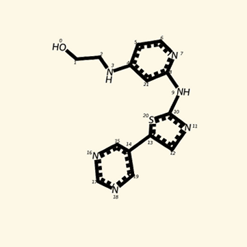 OCCNc1ccnc(Nc2ncc(-c3cncnc3)s2)c1